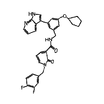 O=C(NCc1cc(OC2CCCC2)cc(-c2c[nH]c3ncccc23)c1)c1cccn(Cc2ccc(F)c(F)c2)c1=O